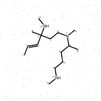 CC=CC(C)(CCN(C)C(C)CCCNC)NC